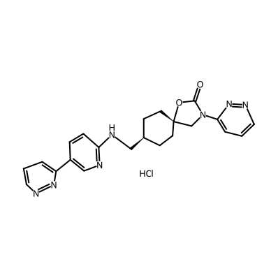 Cl.O=C1O[C@]2(CC[C@H](CNc3ccc(-c4cccnn4)cn3)CC2)CN1c1cccnn1